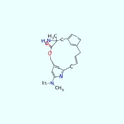 CCN(C)c1cc2cc(n1)C/C=C/Cc1cccc(c1)CC(C)(N)C(=O)OC2